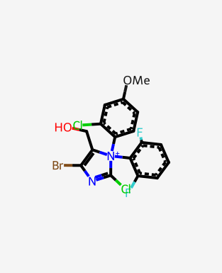 COc1ccc([N+]2(c3c(F)cccc3F)C(Cl)=NC(Br)=C2CO)c(Cl)c1